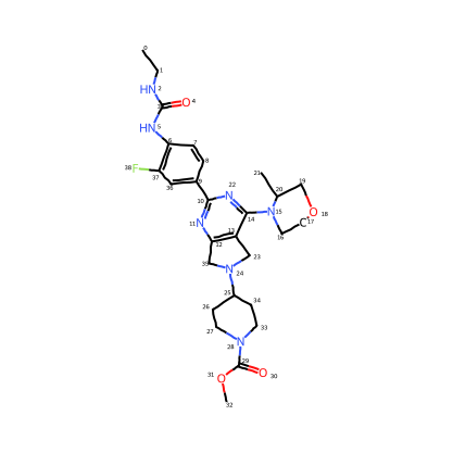 CCNC(=O)Nc1ccc(-c2nc3c(c(N4CCOCC4C)n2)CN(C2CCN(C(=O)OC)CC2)C3)cc1F